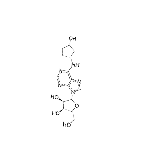 OC[C@H]1O[C@@H](n2cnc3c(N[C@@H]4CC[C@H](O)C4)ncnc32)[C@H](O)[C@@H]1O